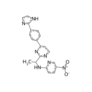 [CH2]C(Nc1ccc([N+](=O)[O-])cn1)c1nccc(-c2ccc(-c3ncc[nH]3)cc2)n1